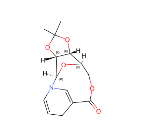 CC1(C)O[C@@H]2[C@H](O1)[C@H]1COC(=O)C3=CN(C=CC3)[C@@H]2O1